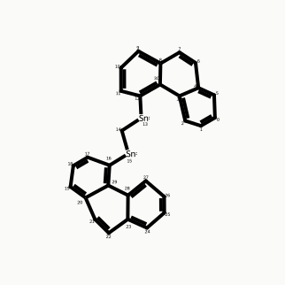 c1ccc2c(c1)ccc1ccc[c]([Sn][CH2][Sn][c]3cccc4ccc5ccccc5c34)c12